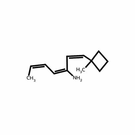 C\C=C/C=C(N)\C=C/C1(C)CCC1